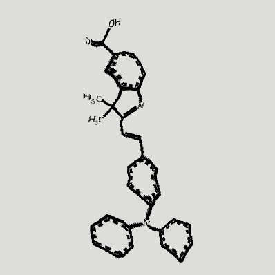 CC1(C)C(/C=C/c2ccc(N(c3ccccc3)c3ccccc3)cc2)=Nc2ccc(C(=O)O)cc21